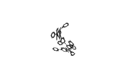 c1ccc(-c2ccc(N(c3ccccc3)c3cc(-c4ccc(-c5cc(-c6ccccc6)nc(-c6ccccc6)n5)c5ccccc45)c4c(c3)oc3ccccc34)cc2)cc1